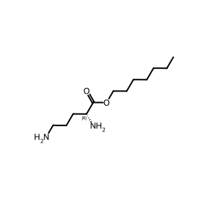 CCCCCCCOC(=O)[C@H](N)CCCN